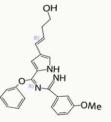 COc1cccc(C(=N)/N=C(/Oc2ccccc2)c2cc(/C=C/CCO)c[nH]2)c1